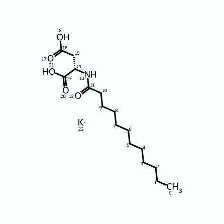 CCCCCCCCCCCC(=O)N[C@@H](CC(=O)O)C(=O)O.[K]